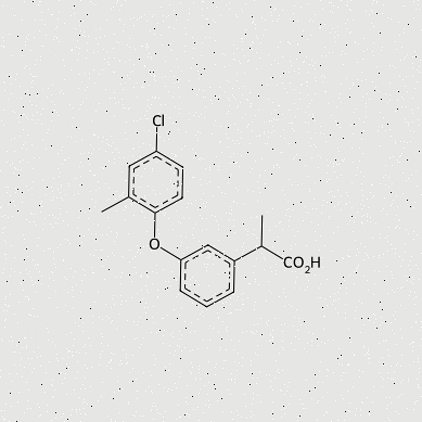 Cc1cc(Cl)ccc1Oc1cccc(C(C)C(=O)O)c1